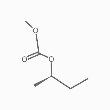 CC[C@@H](C)OC(=O)OC